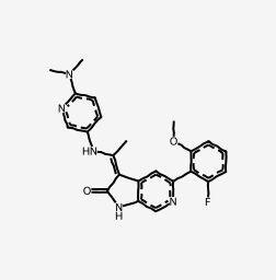 COc1cccc(F)c1-c1cc2c(cn1)NC(=O)/C2=C(/C)Nc1ccc(N(C)C)nc1